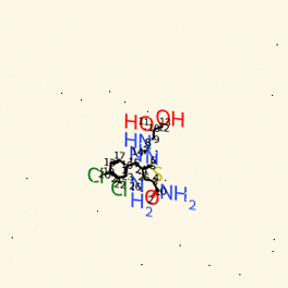 NC(=O)C1Sc2nc(NCC(O)CO)nc(-c3ccc(Cl)c(Cl)c3)c2C1N